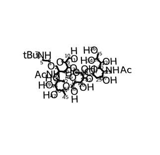 CC(=O)NC1[C@H](OCCNC(C)(C)C)OC(CO)[C@@H](O[C@@H]2OC(CO)[C@H](O)[C@H](O[C@]3(C(=O)O)C[C@@H](O)[C@@H](NC(C)=O)C([C@H](O)[C@H](O)CO)O3)C2O)[C@@H]1C[C@@H]1OC(C)[C@@H](O)[C@H](O)C1O